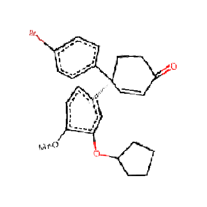 COc1ccc([C@@]2(c3ccc(Br)cc3)C=CC(=O)CC2)cc1OC1CCCC1